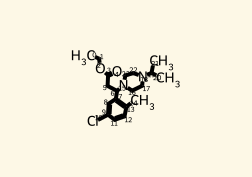 CCOC(=O)CC(c1cc(Cl)ccc1C)N1CCN(C(C)C)CC1